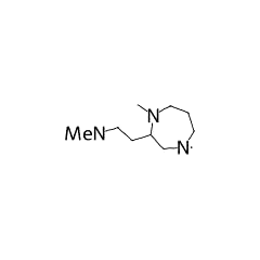 CNCCC1C[N]CCCN1C